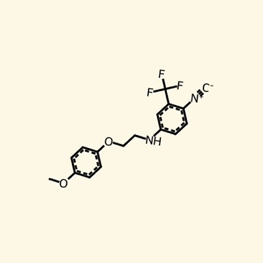 [C-]#[N+]c1ccc(NCCOc2ccc(OC)cc2)cc1C(F)(F)F